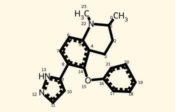 CC1CCc2c(ccc(-c3ccn[nH]3)c2Oc2ccccc2)N1C